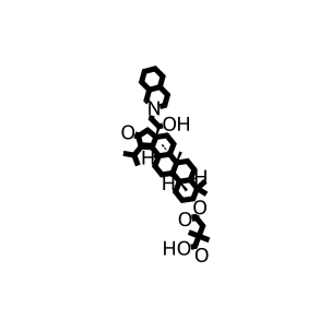 CC(C)C1=C2[C@H]3CC[C@@H]4[C@@]5(C)CC[C@H](OC(=O)CC(C)(C)C(=O)O)C(C)(C)[C@@H]5CC[C@@]4(C)[C@]3(C)CC[C@@]2(C(O)CN2CCC3CCCCC3C2)CC1=O